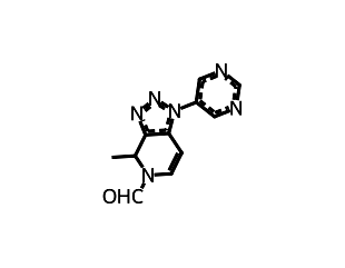 CC1c2nnn(-c3cncnc3)c2C=CN1C=O